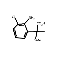 CSC(C)(C(=O)O)c1cccc(Cl)c1N